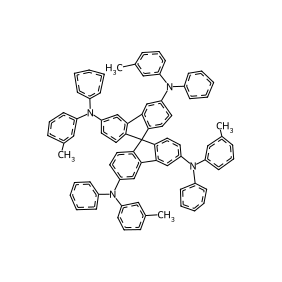 Cc1cccc(N(c2ccccc2)c2ccc3c(c2)-c2cc(N(c4ccccc4)c4cccc(C)c4)ccc2C32c3ccc(N(c4ccccc4)c4cccc(C)c4)cc3-c3cc(N(c4ccccc4)c4cccc(C)c4)ccc32)c1